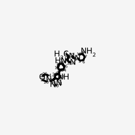 Cc1nc(N2CCC[C@@H](N)C2)ncc1Nc1ccc(-c2cc3c(N4CCOCC4)ncnc3[nH]2)cc1